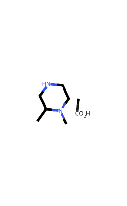 CC(=O)O.CC1CNCCN1C